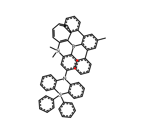 Cc1cc(-c2ccccc2)c(B2C3=C(C=CC=CC3)[Si](C)(C)c3cc(N4c5ccccc5S(c5ccccc5)(c5ccccc5)c5ccccc54)ccc32)c(-c2ccccc2)c1